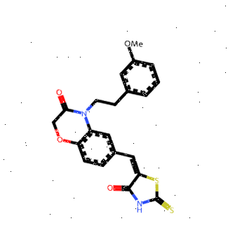 COc1cccc(CCN2C(=O)COc3ccc(C=C4SC(=S)NC4=O)cc32)c1